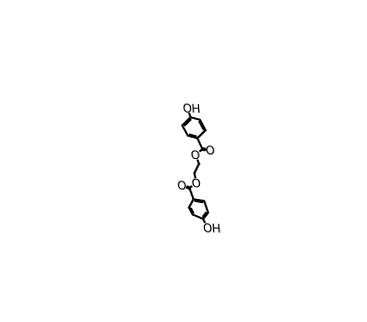 O=C(OCCOC(=O)c1ccc(O)cc1)c1ccc(O)cc1